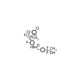 CC(O)C(F)(F)c1ccc(CC(=O)Nc2ccc(OC(C)(C)c3ncc(Cl)cc3Cl)c(F)c2)cc1